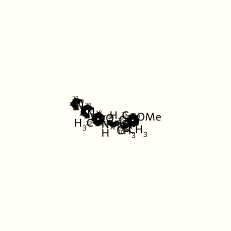 COc1cc(C)c(S(=O)(=O)N(C)CCC(=O)Nc2ccc(N3CCC(N4CCCC4)CC3)c(C)c2)c(C)c1